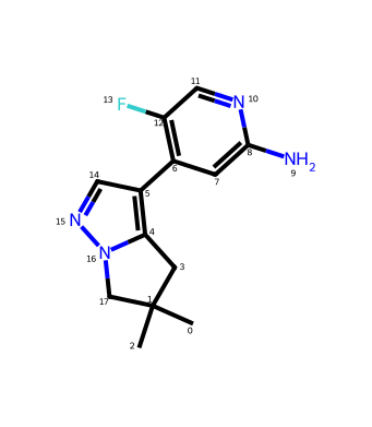 CC1(C)Cc2c(-c3cc(N)ncc3F)cnn2C1